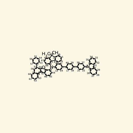 CC1(C)c2ccccc2-c2c(N(c3ccc(-c4ccc(-c5ccc(-n6c7ccccc7c7ccccc76)cc5)cc4)cc3)c3cccc4c3oc3c(-c5ccccc5)cc5ccccc5c34)cccc21